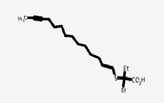 CC#CCCCCCCCCCCCSC(CC)(CC)C(=O)O